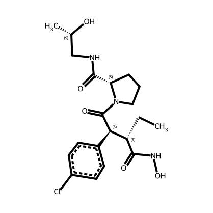 CC[C@H](C(=O)NO)[C@H](C(=O)N1CCC[C@H]1C(=O)NC[C@H](C)O)c1ccc(Cl)cc1